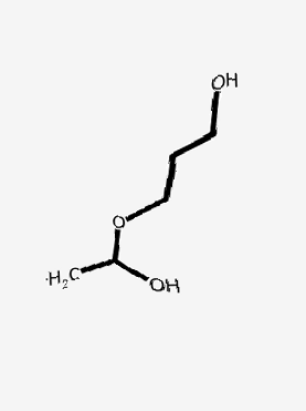 [CH2]C(O)OCCCO